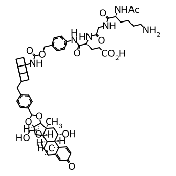 CC(=O)N[C@@H](CCCCN)C(=O)NCC(=O)N[C@@H](CCC(=O)O)C(=O)Nc1ccc(COC(=O)NC23C4C5C2C2C3C4C52Cc2ccc(C3O[C@@H]4C[C@H]5[C@@H]6CCC7=CC(=O)C=C[C@]7(C)[C@H]6[C@@H](O)C[C@]5(C)[C@]4(C(=O)CO)O3)cc2)cc1